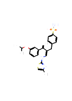 C=C(/C(=C\Nc1nc(C)cs1)Cc1ccc(S(N)(=O)=O)cc1)c1cccc(OC(C)C)c1